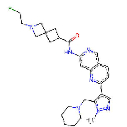 Cn1ncc(-c2ccc3cnc(NC(=O)C4CC5(C4)CN(CCF)C5)cc3n2)c1CN1CCCCC1